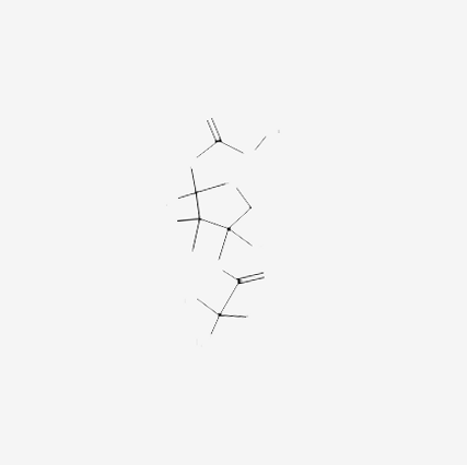 CCC(C)(C)C(=O)OC1(C)COC(OC(=O)OC(C)(C)C)(C(F)(F)F)C1(F)F